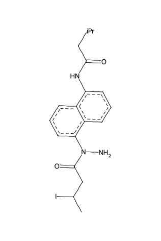 CC(C)CC(=O)Nc1cccc2c(N(N)C(=O)CC(C)I)cccc12